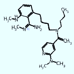 C=C(c1ccnc(N(C)C)c1)N(CCCC)CCCCc1cccc(NC)c1/C(N)=N\C